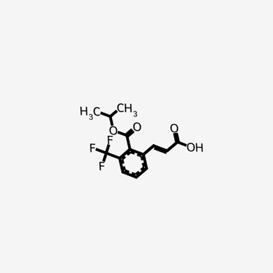 CC(C)OC(=O)c1c(C=CC(=O)O)cccc1C(F)(F)F